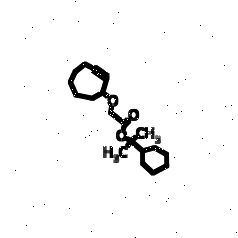 CC(C)(OC(=O)COC1C#CCCCCC1)C1CCCCC1